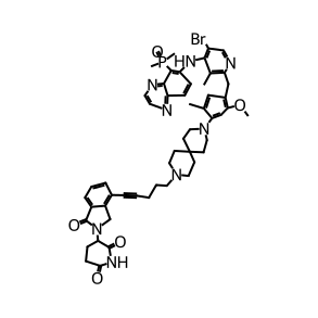 COc1cc(N2CCC3(CCN(CCCC#Cc4cccc5c4CN(C4CCC(=O)NC4=O)C5=O)CC3)CC2)c(C)cc1Cc1ncc(Br)c(Nc2ccc3nccnc3c2P(C)(C)=O)c1C